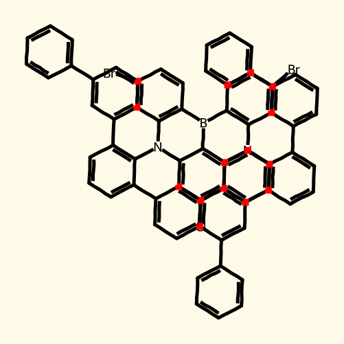 Clc1cc2c3c(c1)N(c1c(-c4cccc(-c5ccccc5)c4)cccc1-c1cccc(-c4ccccc4)c1)c1cc(Br)ccc1B3c1ccc(Br)cc1N2c1c(-c2cccc(-c3ccccc3)c2)cccc1-c1cccc(-c2ccccc2)c1